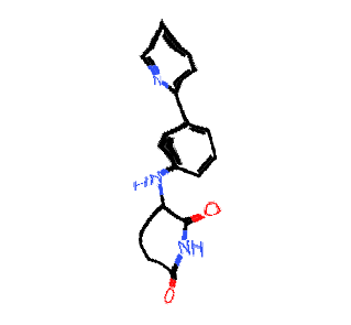 O=C1CCC(Nc2cccc(-c3ccccn3)c2)C(=O)N1